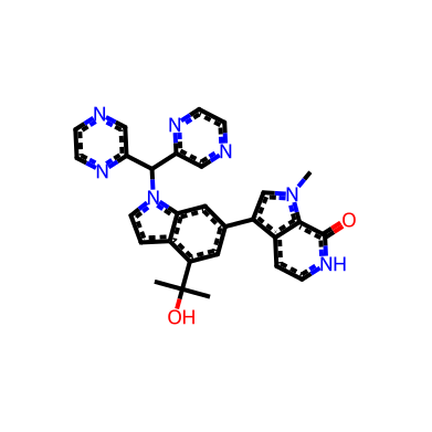 Cn1cc(-c2cc(C(C)(C)O)c3ccn(C(c4cnccn4)c4cnccn4)c3c2)c2cc[nH]c(=O)c21